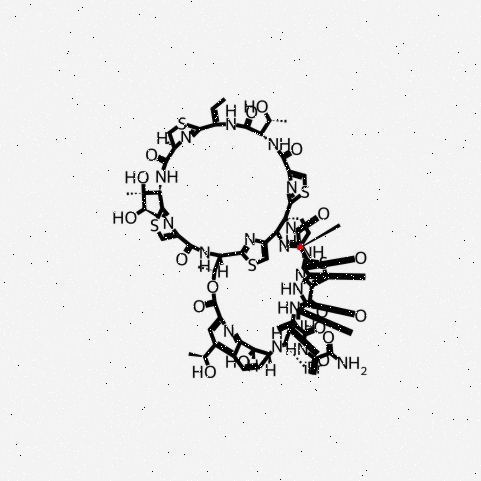 C=C(NC(=O)C(=C)NC(=O)c1csc(C2=NC3c4csc(n4)[C@H]4NC(=O)c5csc(n5)[C@H]([C@](C)(O)[C@@H](C)O)NC(=O)[C@H]5CSC(=N5)/C(=C/C)NC(=O)[C@H]([C@@H](C)O)NC(=O)c5csc(n5)[C@@]3(CC2)NC(=O)[C@H](C)NC(=O)C(=C)NC(=O)C(=C)NC(=O)[C@H](C(C)C)N[C@@H]2C=Cc3c([C@H](C)O)cc(nc3[C@H]2O)C(=O)O[C@@H]4C)n1)C(N)=O